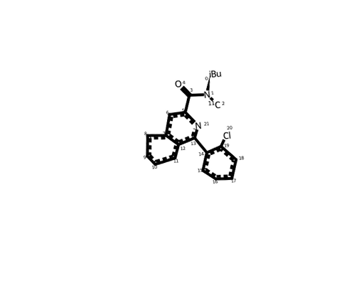 CC[C@H](C)N([11CH3])C(=O)c1cc2ccccc2c(-c2ccccc2Cl)n1